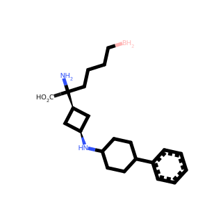 BCCCCC(N)(C(=O)O)[C@H]1C[C@@H](NC2CCC(c3ccccc3)CC2)C1